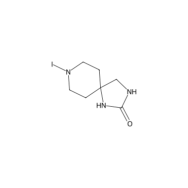 O=C1NCC2(CCN(I)CC2)N1